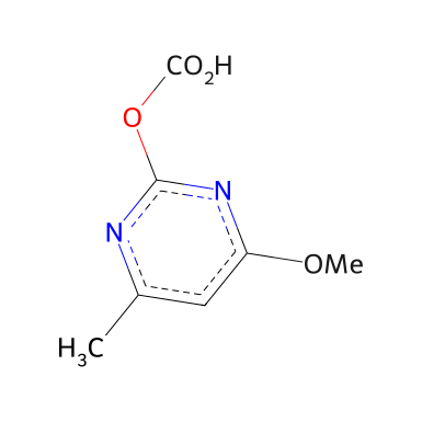 COc1cc(C)nc(OC(=O)O)n1